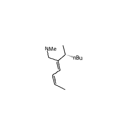 C/C=C\C=C(/CNC)[C@H](C)CCCC